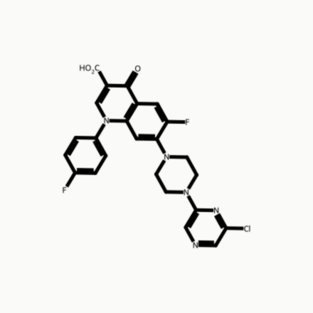 O=C(O)c1cn(-c2ccc(F)cc2)c2cc(N3CCN(c4cncc(Cl)n4)CC3)c(F)cc2c1=O